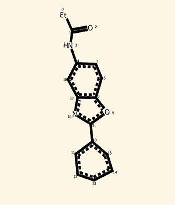 CCC(=O)Nc1ccc2oc(-c3ccccc3)nc2c1